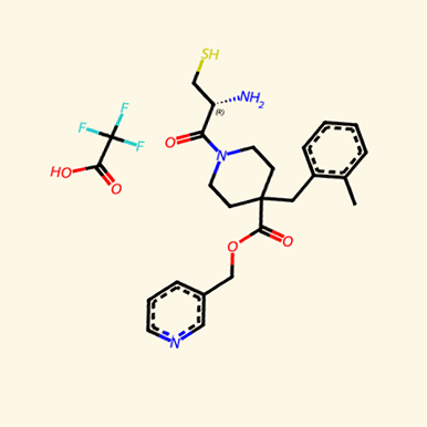 Cc1ccccc1CC1(C(=O)OCc2cccnc2)CCN(C(=O)[C@@H](N)CS)CC1.O=C(O)C(F)(F)F